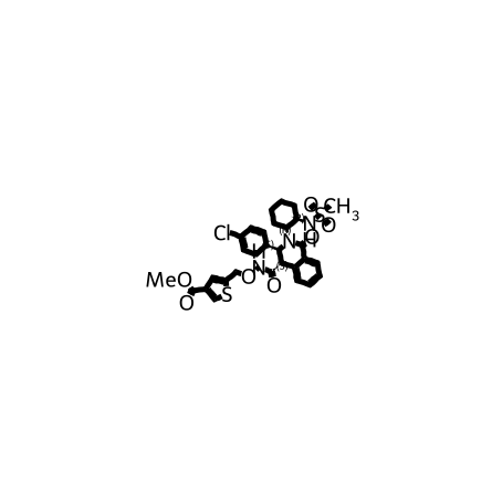 COC(=O)c1csc(CONC(=O)[C@H]2c3ccccc3C(=O)N([C@@H]3CCCC[C@H]3NS(C)(=O)=O)C2[C@@H]2C=CC(Cl)=CC2)c1